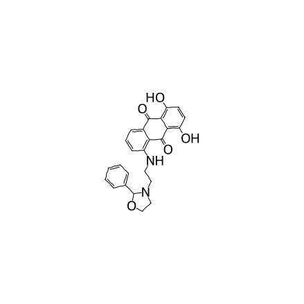 O=C1c2cccc(NCCN3CCOC3c3ccccc3)c2C(=O)c2c(O)ccc(O)c21